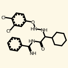 N=C(NC(=O)C(NNOc1ccc(Cl)c(Cl)c1)C1CCCCC1)c1ccccc1